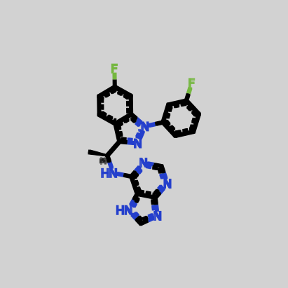 C[C@H](Nc1ncnc2nc[nH]c12)c1nn(-c2cccc(F)c2)c2cc(F)ccc12